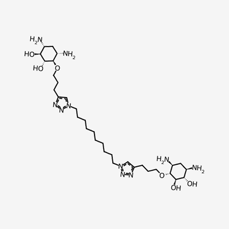 N[C@@H]1C[C@H](N)[C@@H](OCCCc2cn(CCCCCCCCCCn3cc(CCCO[C@H]4[C@H](O)[C@@H](O)[C@H](N)C[C@@H]4N)nn3)nn2)[C@H](O)[C@H]1O